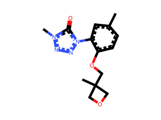 Cc1ccc(OCC2(C)COC2)c(-n2nnn(C)c2=O)c1